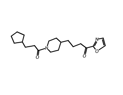 O=C(CCCC1CCN(C(=O)CCC2CCCC2)CC1)c1ncco1